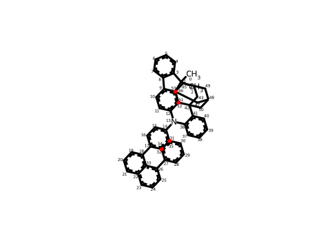 CC1(C)c2ccccc2-c2ccc(N(c3ccc(-c4cccc5cccc(-c6ccccc6)c45)cc3)c3ccccc3C34CC5CC(CC(C5)C3)C4)cc21